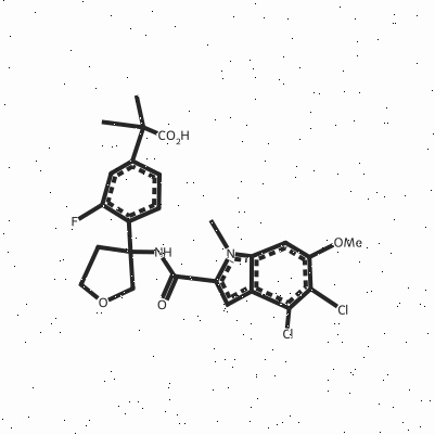 COc1cc2c(cc(C(=O)NC3(c4ccc(C(C)(C)C(=O)O)cc4F)CCOC3)n2C)c(Cl)c1Cl